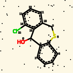 OC1c2ccccc2SCc2cccc(Cl)c21